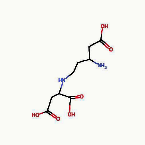 NC(CCNC(CC(=O)O)C(=O)O)CC(=O)O